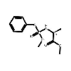 COC(=O)[C@H](C)NP(=O)(OC)Oc1ccccc1